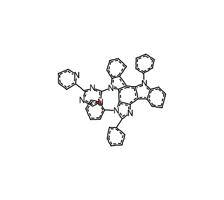 c1ccc(-c2nc3c4c5ccccc5n(-c5ccccc5)c4c4c5ccccc5n(-c5ncnc(-c6ccccn6)n5)c4c3n2-c2ccccc2)cc1